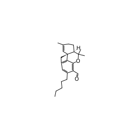 CCCCCc1cc2c3c(c1C=O)OC(C)(C)[C@@H]1CCC(C)=C[C@@]31C2